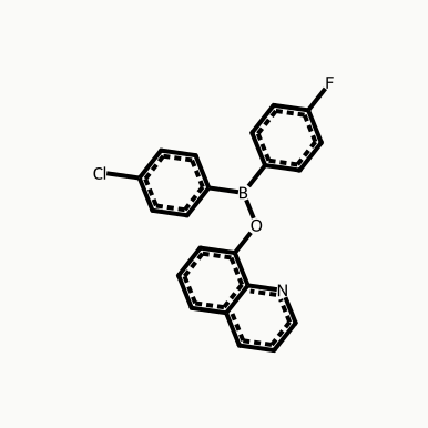 Fc1ccc(B(Oc2cccc3cccnc23)c2ccc(Cl)cc2)cc1